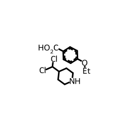 CCOc1ccc(C(=O)O)cc1.ClC(Cl)C1CCNCC1